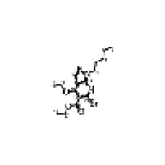 CCCCCn1ncc2c(OCC)c(C(=O)OCC)c(Br)nc21